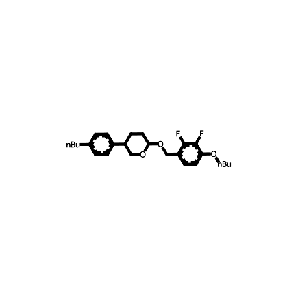 CCCCOc1ccc(COC2CCC(c3ccc(CCCC)cc3)CO2)c(F)c1F